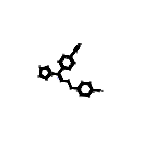 N#Cc1ccc(/C(=C\CCc2ccc(F)cc2)n2ccnc2)cc1